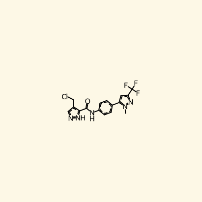 Cn1nc(C(F)(F)F)cc1-c1ccc(NC(=O)c2[nH]ncc2CCl)cc1